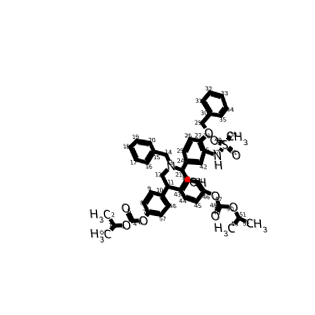 CC(C)OC(=O)Oc1ccc(C(CN(Cc2ccccc2)C(CO)c2ccc(OCc3ccccc3)c(NS(C)(=O)=O)c2)c2ccc(OC(=O)OC(C)C)cc2)cc1